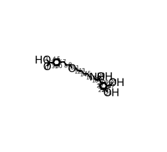 O=C(O)c1ccc(CCCOCCCCCCNCC(O)c2ccc(O)c(CO)c2)cc1